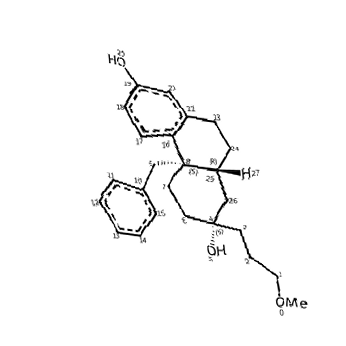 COCCC[C@@]1(O)CC[C@@]2(Cc3ccccc3)c3ccc(O)cc3CC[C@@H]2C1